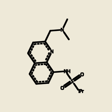 CC(C)S(=O)(=O)Nc1cccc2ccc(CN(C)C)nc12